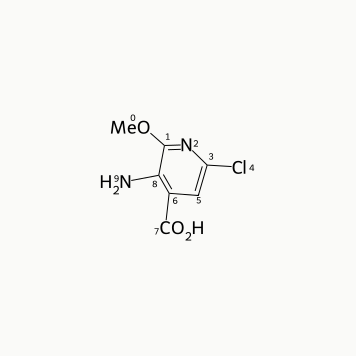 COc1nc(Cl)cc(C(=O)O)c1N